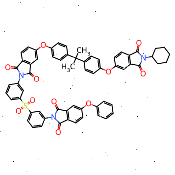 CC(C)(c1ccc(Oc2ccc3c(c2)C(=O)N(c2cccc(S(=O)(=O)c4cccc(N5C(=O)c6ccc(Oc7ccccc7)cc6C5=O)c4)c2)C3=O)cc1)c1ccc(Oc2ccc3c(c2)C(=O)N(C2CCCCC2)C3=O)cc1